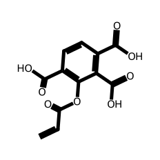 C=CC(=O)Oc1c(C(=O)O)ccc(C(=O)O)c1C(=O)O